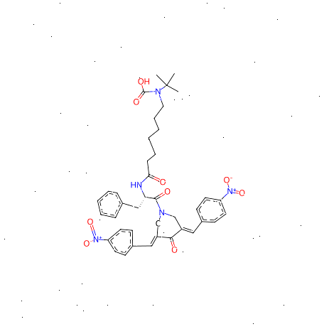 CC(C)(C)N(CCCCCCC(=O)N[C@@H](Cc1ccccc1)C(=O)N1C/C(=C\c2ccc([N+](=O)[O-])cc2)C(=O)/C(=C/c2ccc([N+](=O)[O-])cc2)C1)C(=O)O